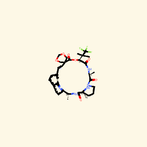 C[C@@H]1NC(=O)[C@H](C(C)(C)C(F)(F)F)OC(=O)C2(/C=C/c3ccc4ccc(nc4c3)[C@@H](C)NC(=O)[C@@H]3CCCN(N3)C1=O)COCOC2